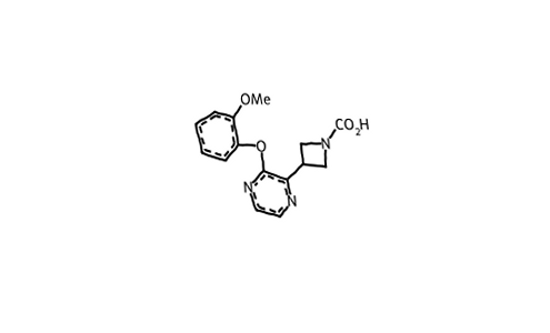 COc1ccccc1Oc1nccnc1C1CN(C(=O)O)C1